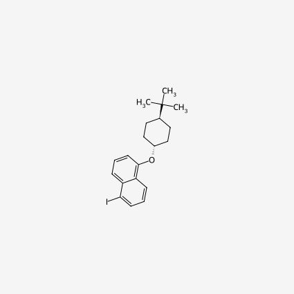 CC(C)(C)[C@H]1CC[C@H](Oc2cccc3c(I)cccc23)CC1